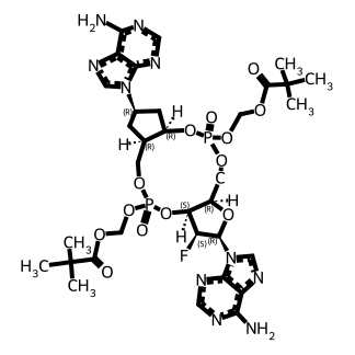 CC(C)(C)C(=O)OCOP1(=O)OC[C@H]2C[C@@H](n3cnc4c(N)ncnc43)C[C@H]2OP(=O)(OCOC(=O)C(C)(C)C)OC[C@H]2O[C@@H](n3cnc4c(N)ncnc43)[C@@H](F)[C@H]2O1